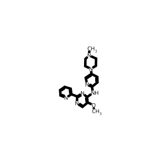 COc1cnc(-c2ccccn2)nc1Nc1ccc(N2CCN(C)CC2)cn1